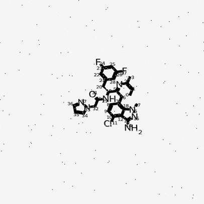 C/C=C(C)\N=C(/Cc1ccc(Cl)c2c(N)nn(C)c12)[C@H](Cc1cc(F)cc(F)c1)NC(=O)Cn1cccn1